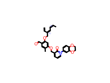 C=C/C(=C\C=C/C)COc1cc(OCc2cccn(-c3ccc4c(c3)OCCO4)c2=O)c(C)cc1C=O